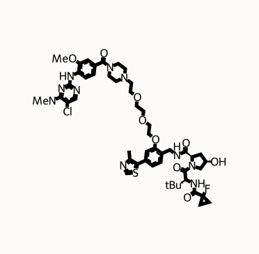 CNc1nc(Nc2ccc(C(=O)N3CCN(CCOCCOCCOc4cc(-c5scnc5C)ccc4CNC(=O)[C@H]4C[C@@H](O)CN4C(=O)[C@@H](NC(=O)C4(F)CC4)C(C)(C)C)CC3)cc2OC)ncc1Cl